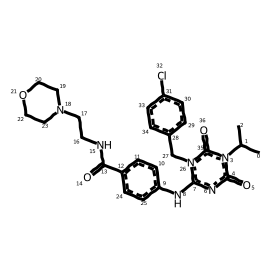 CC(C)n1c(=O)nc(Nc2ccc(C(=O)NCCN3CCOCC3)cc2)n(Cc2ccc(Cl)cc2)c1=O